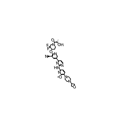 COc1nc(Nc2nccc(-c3cnc(OC4CCN(C(=O)[C@H](C)O)CC4(F)F)c(C#N)c3)n2)ccc1N1CCN(C2COC2)CC1